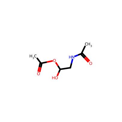 CC(=O)NCC(O)OC(C)=O